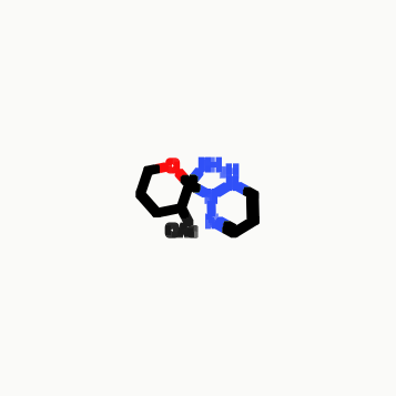 CC(=O)OC1CCCOC1(N)N1N=CC=CN1